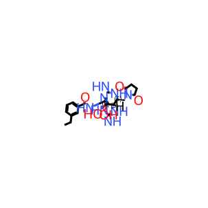 CCc1cccc(C(=O)NC2CN3C(=N)N[C@@H](CN4C(=O)CCC4=O)[C@@H]4NC(=N)N[C@@]43C2(O)O)c1